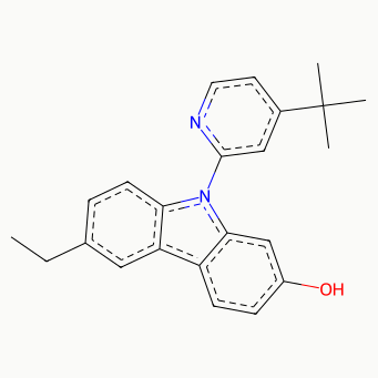 CCc1ccc2c(c1)c1ccc(O)cc1n2-c1cc(C(C)(C)C)ccn1